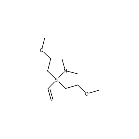 C=C[Si](CCOC)(CCOC)N(C)C